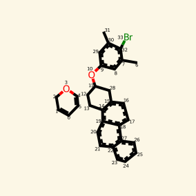 C1=CCOC=C1.Cc1cc(OC2CCc3c(ccc4c3ccc3ccccc34)C2)cc(C)c1Br